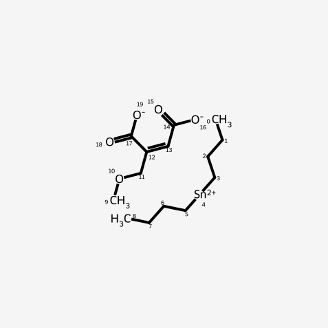 CCC[CH2][Sn+2][CH2]CCC.COCC(=CC(=O)[O-])C(=O)[O-]